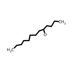 CCCCCCCCC([O])CCCC